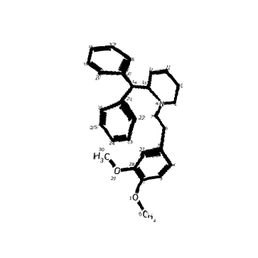 COc1ccc(CCN2CCCCC2C(c2ccccc2)c2ccccc2)cc1OC